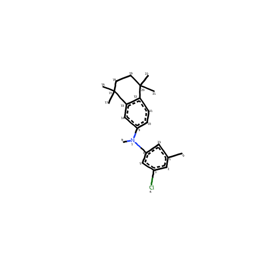 Cc1cc(Cl)cc(N(C)c2ccc3c(c2)C(C)(C)CCC3(C)C)c1